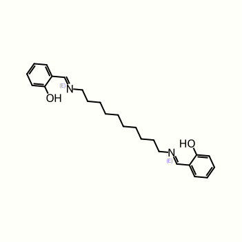 Oc1ccccc1/C=N/CCCCCCCCCC/N=C/c1ccccc1O